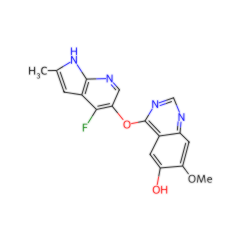 COc1cc2ncnc(Oc3cnc4[nH]c(C)cc4c3F)c2cc1O